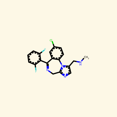 CNCc1cnc2n1-c1ccc(Cl)cc1C(c1c(F)cccc1F)=NC2